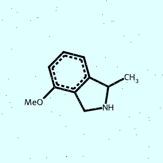 COc1cccc2c1CNC2C